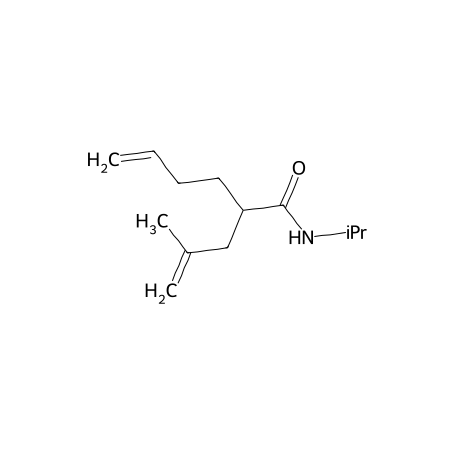 C=CCCC(CC(=C)C)C(=O)NC(C)C